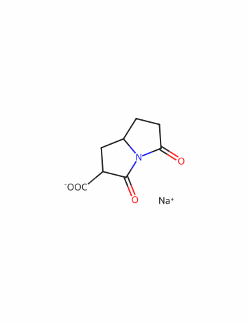 O=C([O-])C1CC2CCC(=O)N2C1=O.[Na+]